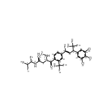 CNN(CC(=O)NC(F)C(F)F)C(=O)c1ccc(C(F)=CC(c2cc(Cl)c(Cl)c(Cl)c2)C(F)(F)F)cc1C(F)(F)F